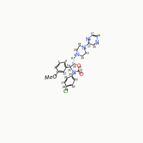 COc1cccc([C@H]2[C@H](CN3CCN(c4cnccn4)CC3)OC(=O)N2c2ccc(Cl)cc2)c1